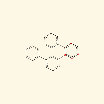 c1ccc(-c2ccccc2-c2c(-c3ccccc3)cccc2-c2ccccc2)cc1